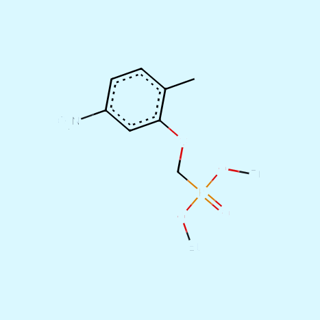 CCOP(=O)(COc1cc([N+](=O)[O-])ccc1C)OCC